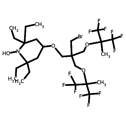 CCC1(CC)CC(OCC(CBr)(COC(C)(C(F)(F)F)C(F)(F)F)COC(C)(C(F)(F)F)C(F)(F)F)CC(CC)(CC)N1O